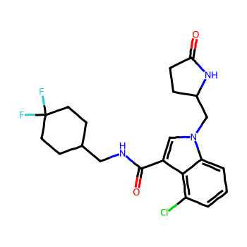 O=C1CCC(Cn2cc(C(=O)NCC3CCC(F)(F)CC3)c3c(Cl)cccc32)N1